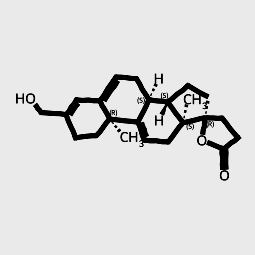 C[C@]12CCC(CO)=CC1=CC[C@@H]1C2=CC[C@@]2(C)[C@H]1CC[C@@]21CCC(=O)O1